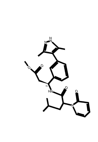 COC(=O)C[C@H](NC(=O)C(CC(C)C)n1ccccc1=O)c1cccc(-c2c(C)n[nH]c2C)c1